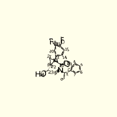 CC(c1ccccc1)N(C)C(=O)[C@@]1(c2ccc(F)c(F)c2)C[C@H]1CO